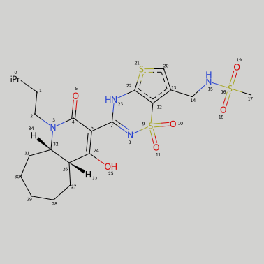 CC(C)CCN1C(=O)C(C2=NS(=O)(=O)c3c(CNS(C)(=O)=O)csc3N2)=C(O)[C@@H]2CCCCC[C@@H]21